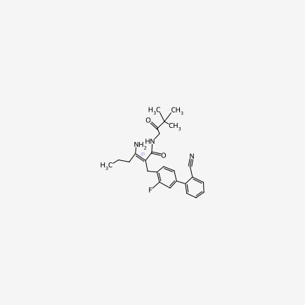 CCC/C(N)=C(\Cc1ccc(-c2ccccc2C#N)cc1F)C(=O)NCC(=O)C(C)(C)C